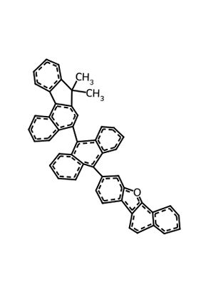 CC1(C)c2ccccc2-c2c1cc(-c1c3ccccc3c(-c3ccc4c(c3)oc3c5ccccc5ccc43)c3ccccc13)c1ccccc21